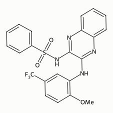 COc1ccc(C(F)(F)F)cc1Nc1nc2ccccc2nc1NS(=O)(=O)c1ccccc1